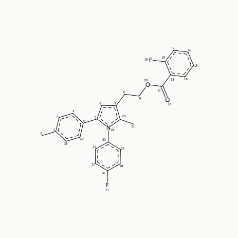 Cc1ccc(-c2cc(CCOC(=O)c3ccccc3F)c(C)n2-c2ccc(F)cc2)cc1